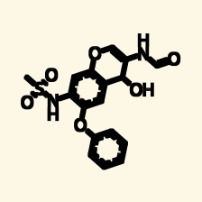 CS(=O)(=O)Nc1cc2c(cc1Oc1ccccc1)C(O)C(NC=O)=CO2